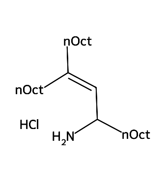 CCCCCCCCC(=CC(N)CCCCCCCC)CCCCCCCC.Cl